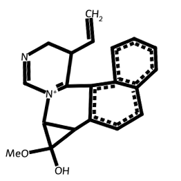 C=CC1CN=C[N+]2=C1c1c(ccc3ccccc13)C1C2C1(O)OC